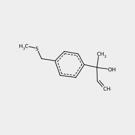 [CH]=CC(C)(O)c1ccc(CSC)cc1